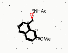 COc1ccc2cccc(CONC(C)=O)c2c1